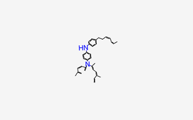 C=C/C(C)=C\C=C(/C)N(C(=C)/C=C\C(=C)C)c1ccc(Nc2ccc(CC/C=C\C=C/C)cc2)cc1